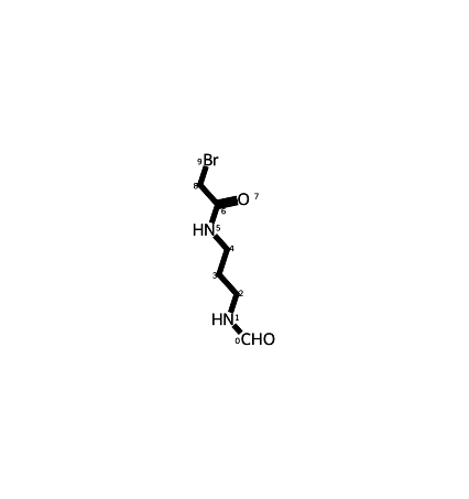 O=CNCCCNC(=O)CBr